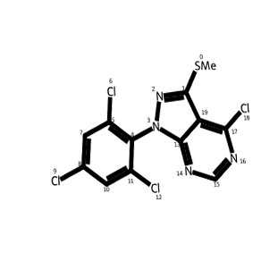 CSc1nn(-c2c(Cl)cc(Cl)cc2Cl)c2ncnc(Cl)c12